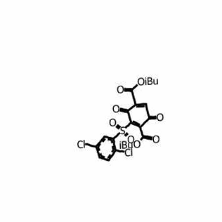 CC(C)COC(=O)C1=CC(=O)C(C(=O)OCC(C)C)=C(S(=O)(=O)c2cc(Cl)ccc2Cl)C1=O